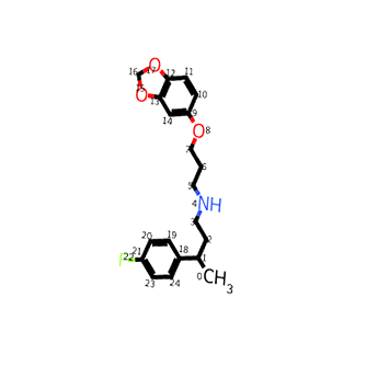 CC(CCNCCCOc1ccc2c(c1)OCO2)c1ccc(F)cc1